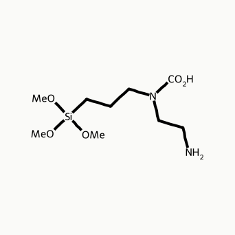 CO[Si](CCCN(CCN)C(=O)O)(OC)OC